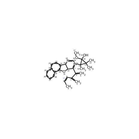 C=C(/C=C\C)C(=C)C1=[N+](C2(C)C(C)(C)C2(O)OC)C=NC2c3ccc4ccccc4c3OC12